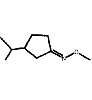 CO/N=C1\CCC(C(C)C)C1